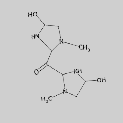 CN1CC(O)NC1C(=O)C1NC(O)CN1C